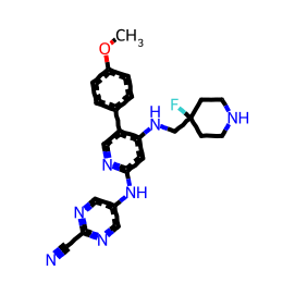 COc1ccc(-c2cnc(Nc3cnc(C#N)nc3)cc2NCC2(F)CCNCC2)cc1